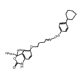 CCCCCCC1(CCCCCC)OC(=O)Nc2ccc(OCCCC=NOSc3ccc(C4CCCCC4)cc3)cc21